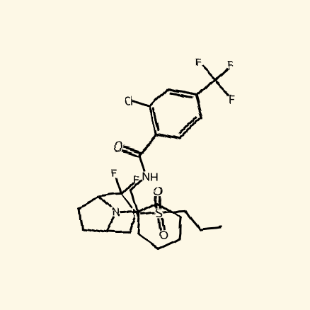 CCCS(=O)(=O)N1CC2CCC(N2C2(CNC(=O)c3ccc(C(F)(F)F)cc3Cl)CCCCC2)C1(F)F